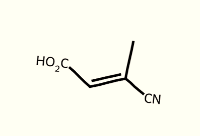 CC(C#N)=CC(=O)O